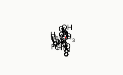 CN(C(=O)NCc1cccc(F)c1Cl)C(CCC(=O)N1CCN(C(=O)O)CC1C(C)(C)C)COC(=O)Nc1cc2ccccc2cn1